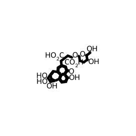 O=C(O)C(CCOC1CCC(O)C(CO)O1)(Cc1cc2c3c(ccc(O)c3c(=O)c1)C1CC(=C2)C(O)(O)C1O)C(=O)O